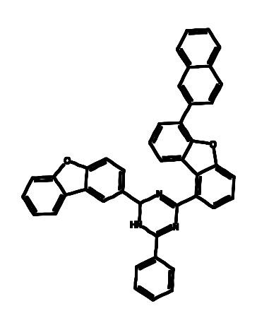 c1ccc(C2=NC(c3cccc4oc5c(-c6ccc7ccccc7c6)cccc5c34)=NC(c3ccc4oc5ccccc5c4c3)N2)cc1